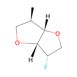 C[C@@H]1CO[C@@H]2[C@H]1OC[C@@H]2F